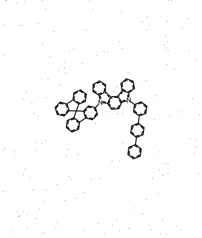 c1ccc(-c2ccc(-c3cccc(-n4c5ccccc5c5c6c7ccccc7n(-c7ccc8c(c7)C7(c9ccccc9-c9ccccc97)c7ccccc7-8)c6ccc54)c3)cc2)cc1